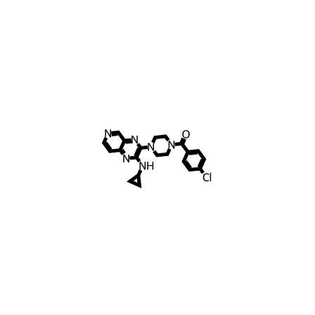 O=C(c1ccc(Cl)cc1)N1CCN(c2nc3cnccc3nc2NC2CC2)CC1